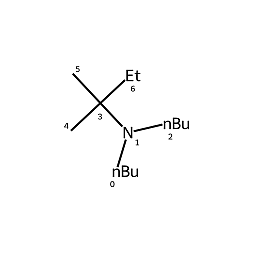 CCCCN(CCCC)C(C)(C)CC